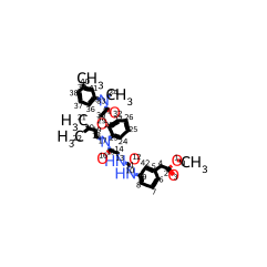 COC(=O)Cc1cccc(NC(=O)NCC(=O)N(CCC(C)C)c2ccccc2OCC(=O)N(C)c2cccc(C)c2)c1